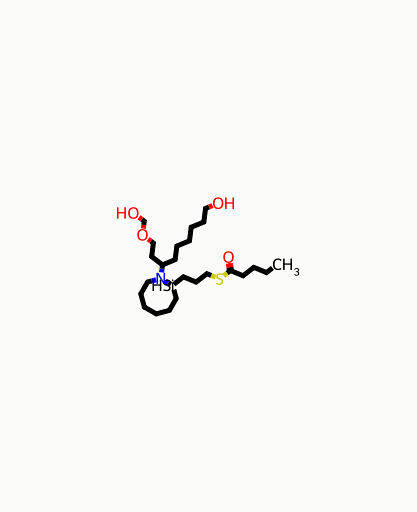 CCCCC(=O)SCCC[SiH]1CCCCCCN1C(CCCCCCO)CCOCO